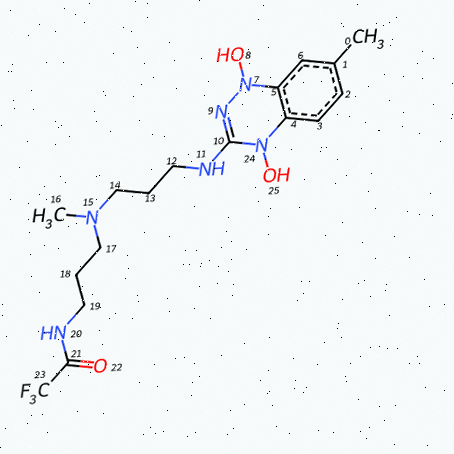 Cc1ccc2c(c1)N(O)N=C(NCCCN(C)CCCNC(=O)C(F)(F)F)N2O